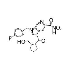 CONC(=O)c1cc2c(C(=O)C3CCC[C@H]3CO)cn(Cc3ccc(F)cc3)c2cn1